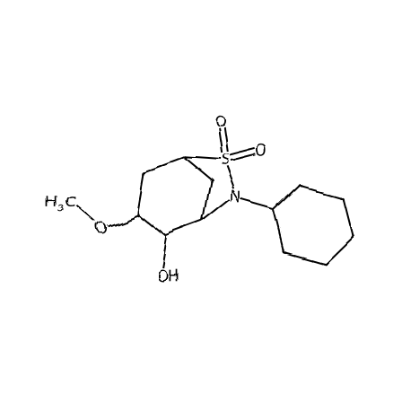 COC1CC2CC(C1O)N(C1CCCCC1)S2(=O)=O